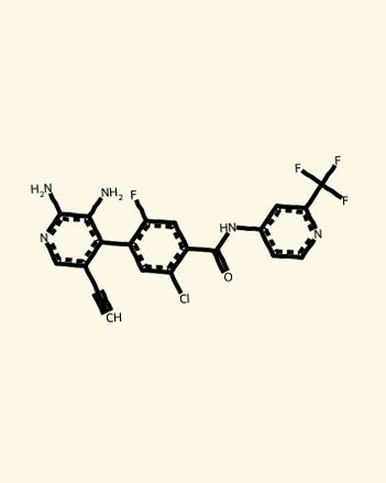 C#Cc1cnc(N)c(N)c1-c1cc(Cl)c(C(=O)Nc2ccnc(C(F)(F)F)c2)cc1F